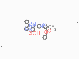 N=C(C1=C(NC(c2ccccc2)c2ccccc2)NC(=O)[C@@H](O)C1)C1CCN(c2cc(C(=O)OCc3ccccc3)c(C(F)(F)F)cn2)CC1